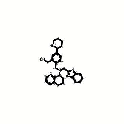 NCc1cc(C2CCCCN2)ccc1CN(Cc1nc2ccccc2[nH]1)C1CCCc2cccnc21